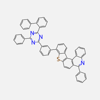 c1ccc(-c2nc(-c3cccc(-c4cccc5c4sc4ccc6c(-c7ccccc7)nc7ccccc7c6c45)c3)nc(-c3ccccc3-c3ccccc3)n2)cc1